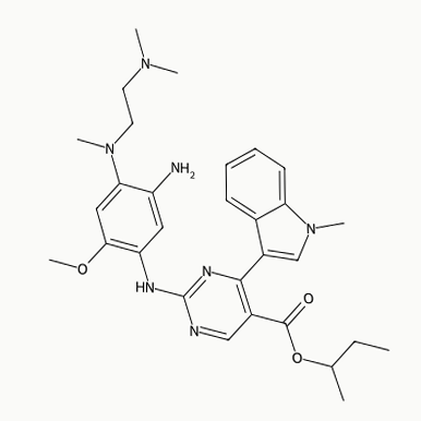 CCC(C)OC(=O)c1cnc(Nc2cc(N)c(N(C)CCN(C)C)cc2OC)nc1-c1cn(C)c2ccccc12